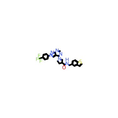 O=C(NCc1ccc2sccc2c1)C1CCN(c2ncnc3nn(-c4ccc(C(F)(F)F)cc4)cc23)C1